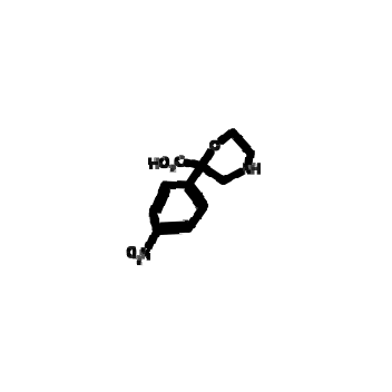 O=C(O)C1(c2ccc([N+](=O)[O-])cc2)CNCCO1